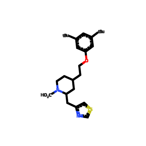 CC(C)(C)c1cc(OCCC2CCN(C(=O)O)C(Cc3cscn3)C2)cc(C(C)(C)C)c1